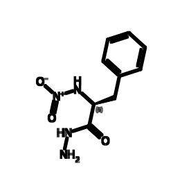 NNC(=O)[C@H](Cc1ccccc1)N[N+](=O)[O-]